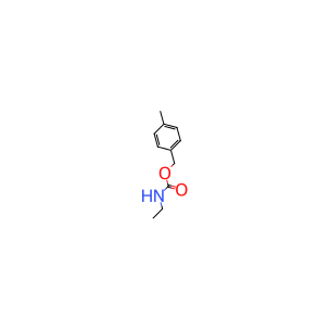 CCNC(=O)OCc1ccc(C)cc1